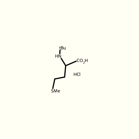 CSCCC(NC(C)(C)C)C(=O)O.Cl